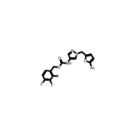 CC(=O)c1ccc(Cn2cc(NC(=O)OCc3ccc(F)c(F)c3F)cn2)o1